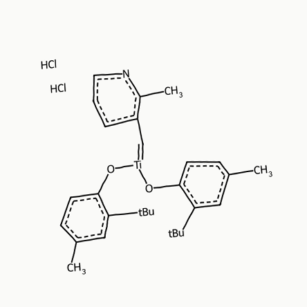 Cc1ccc([O][Ti](=[CH]c2cccnc2C)[O]c2ccc(C)cc2C(C)(C)C)c(C(C)(C)C)c1.Cl.Cl